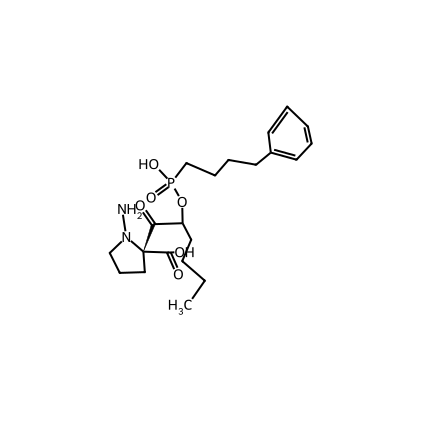 CCCCC(OP(=O)(O)CCCCc1ccccc1)C(=O)[C@@]1(C(=O)O)CCCN1N